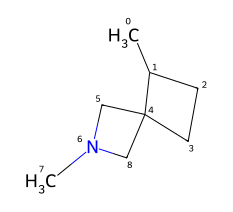 CC1CCC12CN(C)C2